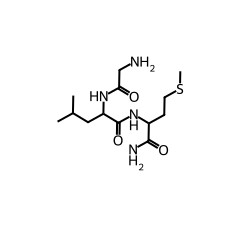 CSCCC(NC(=O)C(CC(C)C)NC(=O)CN)C(N)=O